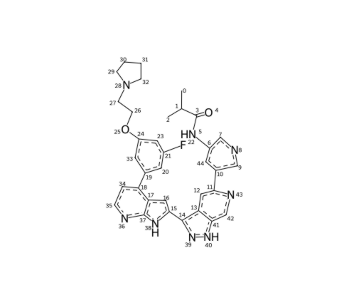 CC(C)C(=O)Nc1cncc(-c2cc3c(-c4cc5c(-c6cc(F)cc(OCCN7CCCC7)c6)ccnc5[nH]4)n[nH]c3cn2)c1